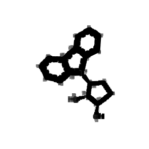 O[C@H]1[C@@H](O)CC[C@@H]1n1c2ccccc2c2ccccc21